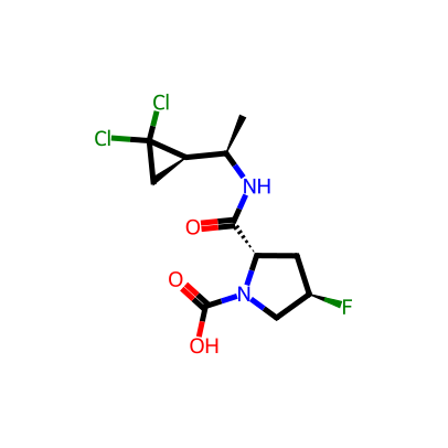 C[C@@H](NC(=O)[C@@H]1C[C@@H](F)CN1C(=O)O)[C@H]1CC1(Cl)Cl